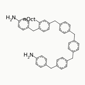 CCCCCCCCc1cc(Cc2ccc(Cc3ccc(Cc4ccc(Cc5ccc(N)cc5)cc4)cc3)cc2)ccc1Cc1ccc(N)cc1